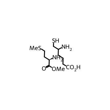 COC(=O)[C@H](N)CCSC.NC(CS)CCCC(=O)O